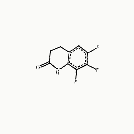 O=C1CCc2cc(F)c(F)c(F)c2N1